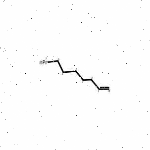 C=CCCCCCC[CH]C